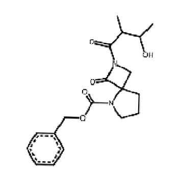 CC(O)C(C)C(=O)N1CC2(CCCN2C(=O)OCc2ccccc2)C1=O